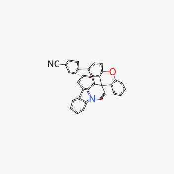 N#Cc1ccc(-c2ccc3c(c2)C2(c4ccccc4O3)c3ccccc3-n3c4ccccc4c4cccc2c43)cc1